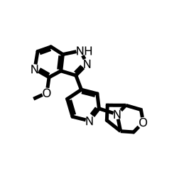 COc1nccc2[nH]nc(-c3ccnc(N4C5CCC4COC5)c3)c12